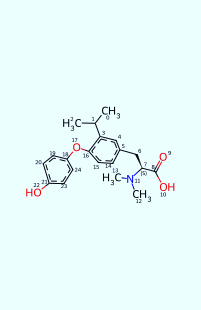 CC(C)c1cc(C[C@@H](C(=O)O)N(C)C)ccc1Oc1ccc(O)cc1